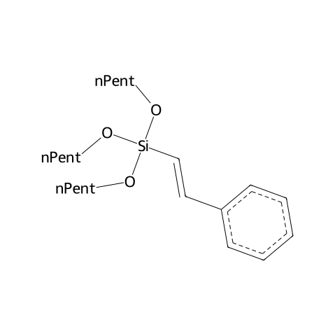 CCCCCO[Si](C=Cc1ccccc1)(OCCCCC)OCCCCC